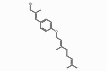 CC(C)=CCC/C(C)=C/COc1ccc(/C=C(\C)CBr)cc1